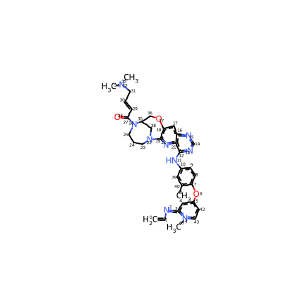 C=C/N=c1/cc(Oc2ccc(Nc3ncnc4cc5c(nc34)N3CCCN(C(=O)/C=C/CN(C)C)C(CO5)C3)cc2C)ccn1C